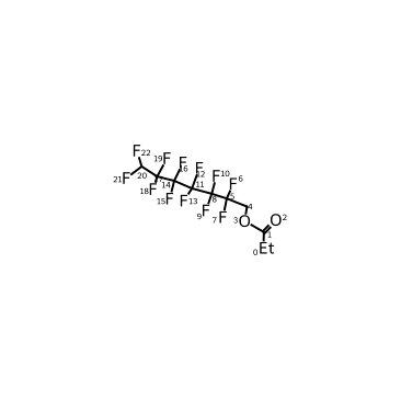 CCC(=O)OCC(F)(F)C(F)(F)C(F)(F)C(F)(F)C(F)(F)C(F)F